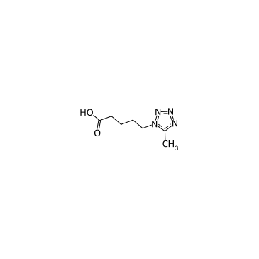 Cc1nnnn1CCCCC(=O)O